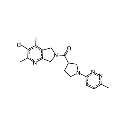 Cc1ccc(N2CCC(C(=O)N3Cc4nc(C)c(Cl)c(C)c4C3)C2)nn1